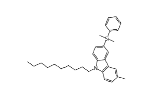 CCCCCCCCCCn1c2ccc(C)cc2c2cc([Si](C)(C)c3ccccc3)ccc21